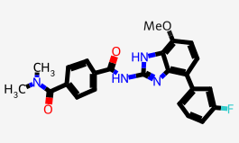 COc1ccc(-c2cccc(F)c2)c2nc(NC(=O)c3ccc(C(=O)N(C)C)cc3)[nH]c12